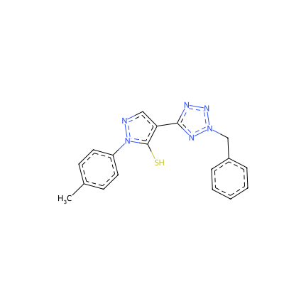 Cc1ccc(-n2ncc(-c3nnn(Cc4ccccc4)n3)c2S)cc1